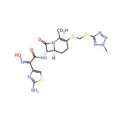 Cn1nnc(SCSC2=C(C(=O)O)N3C(=O)[C@@H](NC(=O)/C(=N\O)c4csc(N)n4)[C@@H]3CC2)n1